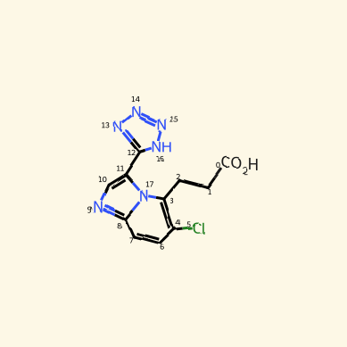 O=C(O)CCc1c(Cl)ccc2ncc(-c3nnn[nH]3)n12